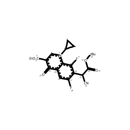 CCOC(=O)c1cn(C2CC2)c2c(F)c(C(C#N)C(=O)OC(C)(C)C)c(F)cc2c1=O